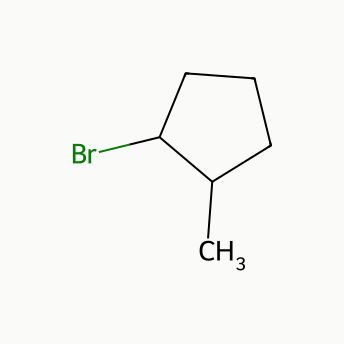 CC1CCCC1Br